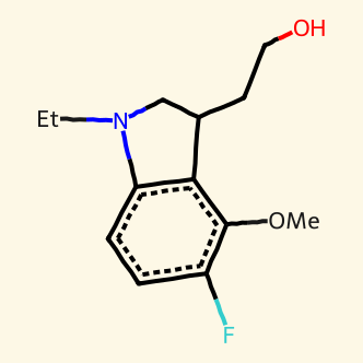 CCN1CC(CCO)c2c1ccc(F)c2OC